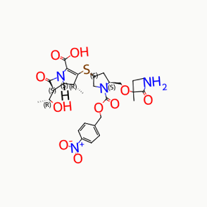 CCC(C)(OC[C@@H]1C[C@H](SC2=C(C(=O)O)N3C(=O)[C@H]([C@@H](C)O)[C@H]3[C@H]2C)CN1C(=O)OCc1ccc([N+](=O)[O-])cc1)C(N)=O